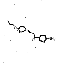 CCCOc1ccc(C=CCC(=O)c2ccc(N)cc2)cc1